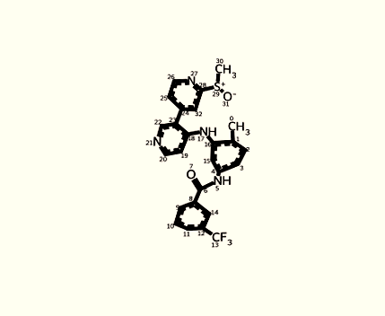 Cc1ccc(NC(=O)c2cccc(C(F)(F)F)c2)cc1Nc1ccncc1-c1ccnc([S+](C)[O-])c1